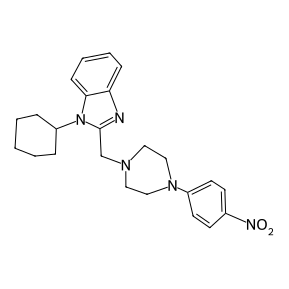 O=[N+]([O-])c1ccc(N2CCN(Cc3nc4ccccc4n3C3CCCCC3)CC2)cc1